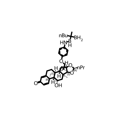 BC(C)(BNc1ccc(OCC(=O)[C@@]23O[C@H](CCC)O[C@@H]2C[C@H]2[C@@H]4CCC5=CC(=O)C=C[C@]5(C)[C@H]4[C@@H](O)C[C@@]23C)cc1)CCCC